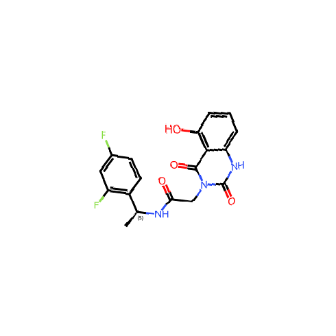 C[C@H](NC(=O)Cn1c(=O)[nH]c2cccc(O)c2c1=O)c1ccc(F)cc1F